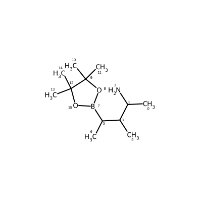 CC(N)C(C)C(C)B1OC(C)(C)C(C)(C)O1